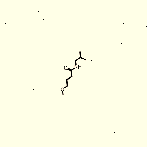 COCCCC(=O)NCC(C)C